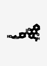 CNC1=C2C(=O)c3ccccc3C(=O)C2=C(Nc2ccc(NCCO)cc2)CC1